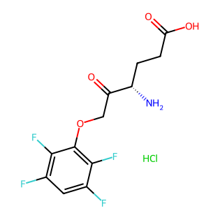 Cl.N[C@@H](CCC(=O)O)C(=O)COc1c(F)c(F)cc(F)c1F